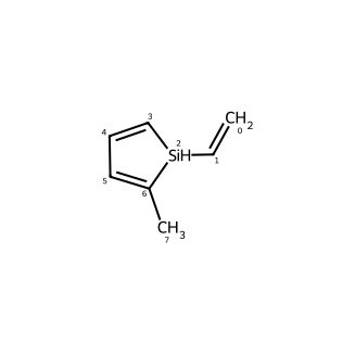 C=C[SiH]1C=CC=C1C